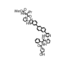 COC(=O)N[C@H](C(=O)N1CCC[C@H]1c1nc2ccc(-c3ccc4cc(-c5cnc([C@@H]6CCCN6C(=O)[C@H](NC(=O)N6CC[C@H](O)C6)c6ccccc6)[nH]5)ccc4c3)cc2[nH]1)C(C)C